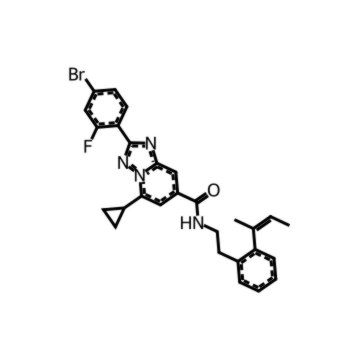 C/C=C(/C)c1ccccc1CCNC(=O)c1cc(C2CC2)n2nc(-c3ccc(Br)cc3F)nc2c1